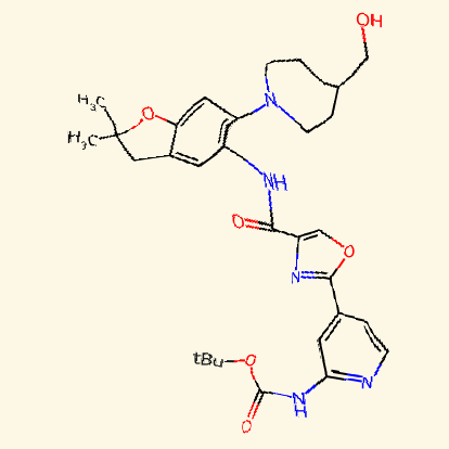 CC(C)(C)OC(=O)Nc1cc(-c2nc(C(=O)Nc3cc4c(cc3N3CCC(CO)CC3)OC(C)(C)C4)co2)ccn1